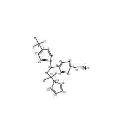 CC(C)(C)c1ccc(C(CC(C)(C)n2cccn2)c2ccc(C#N)cc2)cc1